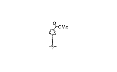 COC(=O)c1ccc(C#C[Si](C)(C)C)s1